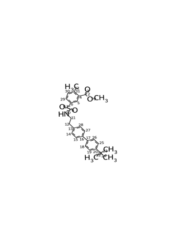 COC(=O)c1cc(S(=O)(=O)NCCc2ccc(-c3ccc(C(C)(C)C)cc3)cc2)ccc1C